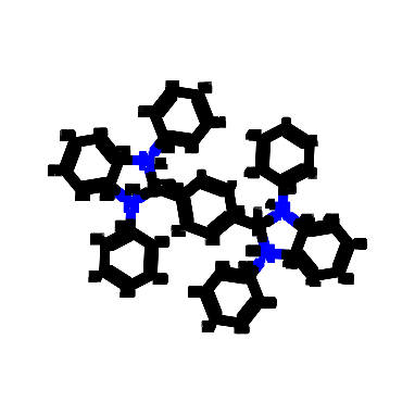 c1ccc(N2B(c3ccc(B4N(c5ccccc5)c5ccccc5N4c4ccccc4)cc3)N(c3ccccc3)c3ccccc32)cc1